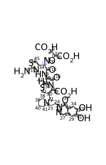 Nc1nc(/C(=N/O[C@@H](CC(=O)O)C(=O)O)C(=O)N[C@@H]2C(=O)N3C(C(=O)O)=C(C[N+]4(CCn5ncc6cc(O)c(O)cc6c5=O)CCCC4)CS[C@H]23)cs1